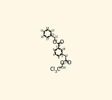 O=C(Cc1cccc(C(=O)OCc2ccccc2)c1)OCC(Cl)(Cl)Cl